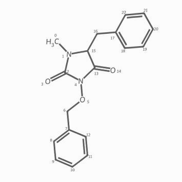 CN1C(=O)N(OCc2ccccc2)C(=O)C1Cc1ccccc1